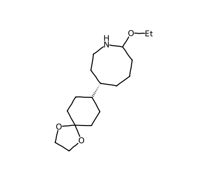 CCOC1CCC[C@H](C2CCC3(CC2)OCCO3)CCN1